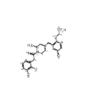 C[C@H]1CN(Cc2cc(Cl)ccc2OCC(=O)O)CCN1C(=O)Cc1cccc(Cl)c1Cl